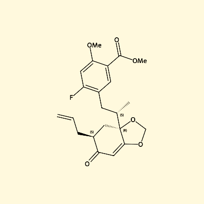 C=CC[C@H]1C[C@]2([C@@H](C)Cc3cc(C(=O)OC)c(OC)cc3F)OCOC2=CC1=O